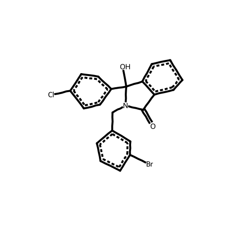 O=C1c2ccccc2C(O)(c2ccc(Cl)cc2)N1Cc1cccc(Br)c1